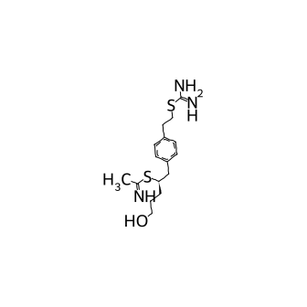 CC(=N)S[C@H](CCCO)Cc1ccc(CCSC(=N)N)cc1